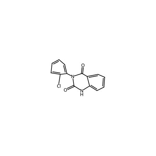 O=c1[nH]c2ccccc2c(=O)n1-c1ccccc1Cl